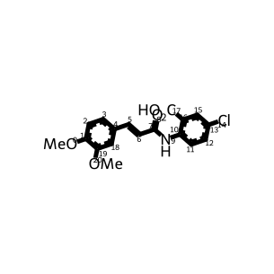 COc1ccc(C=CC(=O)Nc2ccc(Cl)cc2C(=O)O)cc1OC